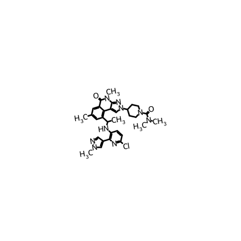 Cc1cc(C(C)Nc2ccc(Cl)nc2-c2cnn(C)c2)c2c(c1)c(=O)n(C)c1nn(C3CCN(C(=O)N(C)C)CC3)cc21